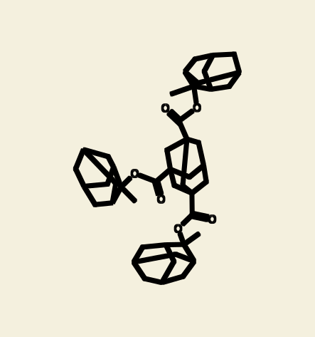 CC1(OC(=O)C23CC4CC(C(=O)OC5(C)C6CC7CC(C6)CC5C7)(C2)CC(C(=O)OC2(C)C5CC6CC(C5)CC2C6)(C4)C3)C2CC3CC(C2)CC1C3